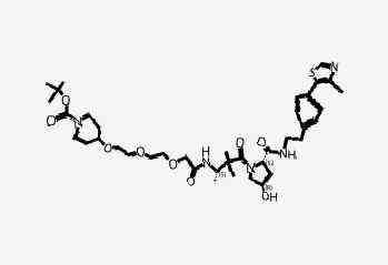 Cc1ncsc1-c1ccc(CCNC(=O)[C@@H]2C[C@@H](O)CN2C(=O)C(C)(C)[C@H](C)NC(=O)COCCOCCOC2CCN(C(=O)OC(C)(C)C)CC2)cc1